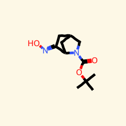 CC(C)(C)OC(=O)N1CC2CC(=NO)C1C2